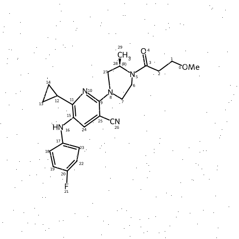 COCCC(=O)N1CCN(c2nc(C3CC3)c(Nc3ccc(F)cc3)cc2C#N)C[C@H]1C